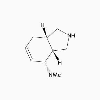 CN[C@@H]1C=CC[C@@H]2CNC[C@@H]21